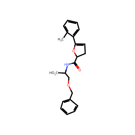 Cc1ccccc1C1=CCC(C(=O)NC(COCc2ccccc2)C(=O)O)O1